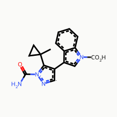 CC1(c2c(-c3cn(C(=O)O)c4ccccc34)[c]nn2C(N)=O)CC1